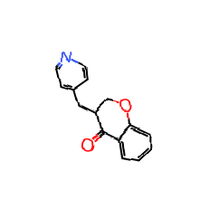 O=C1c2ccccc2OCC1Cc1ccncc1